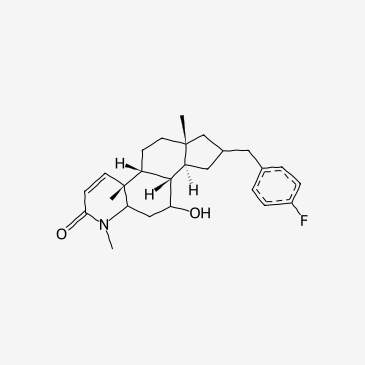 CN1C(=O)C=C[C@@]2(C)C1CC(O)[C@@H]1[C@H]2CC[C@]2(C)CC(Cc3ccc(F)cc3)C[C@@H]12